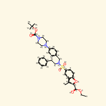 CCOC(=O)c1oc2ccc(S(=O)(=O)N(CCc3ccccc3)Cc3ccc(N4CCN(C(=O)OC(C)(C)C)CC4)cc3)cc2c1C